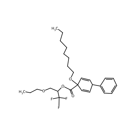 CCCCCCCCOC1(C(=O)OC(COCCC)C(F)(F)F)C=CC(c2ccccc2)C=C1